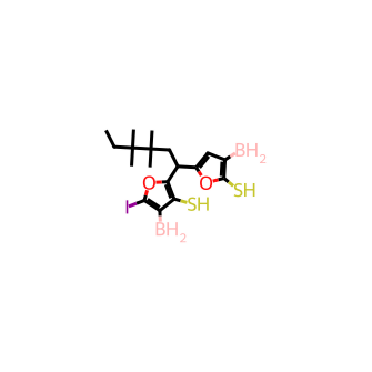 Bc1cc(C(CC(C)(C)C(C)(C)CC)c2oc(I)c(B)c2S)oc1S